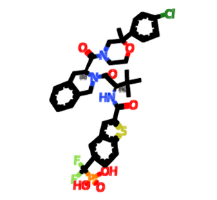 CC1(c2ccc(Cl)cc2)CN(C(=O)[C@@H]2Cc3ccccc3CN2C(=O)[C@@H](NC(=O)c2cc3cc(C(F)(F)P(=O)(O)O)ccc3s2)C(C)(C)C)CCO1